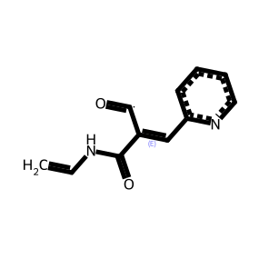 C=CNC(=O)/C([C]=O)=C/c1ccccn1